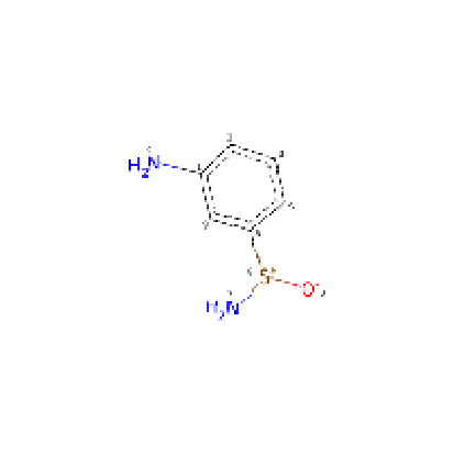 Nc1cccc([S+](N)[O-])c1